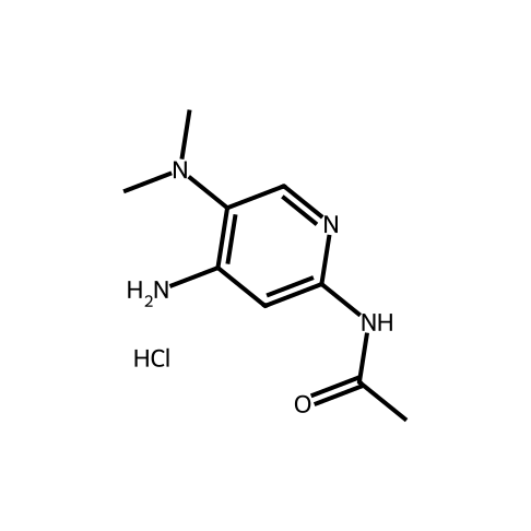 CC(=O)Nc1cc(N)c(N(C)C)cn1.Cl